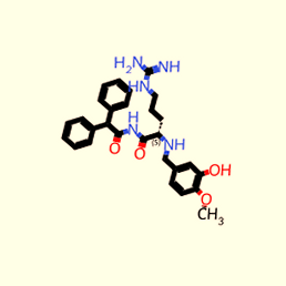 COc1ccc(CN[C@@H](CCCNC(=N)N)C(=O)NC(=O)C(c2ccccc2)c2ccccc2)cc1O